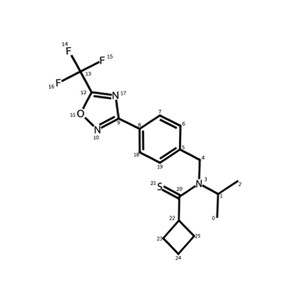 CC(C)N(Cc1ccc(-c2noc(C(F)(F)F)n2)cc1)C(=S)C1CCC1